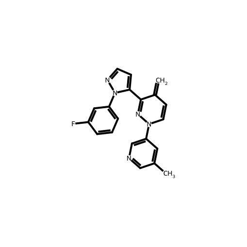 C=C1C=CN(c2cncc(C)c2)N=C1c1ccnn1-c1cccc(F)c1